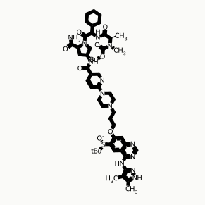 Cc1[nH]nc(Nc2ncnc3cc(OCCCN4CCN(C5=NCC(C(=O)NC6CC(C(N)=O)N(C(=O)C(NC(=O)[C@H](C)N(C)C(=O)OC(C)(C)C)C7CCCCC7)C6)C=C5)CC4)c([S+]([O-])C(C)(C)C)cc23)c1C